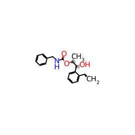 C=Cc1ccccc1[C@@H](O)[C@@H](C)OC(=O)NCc1ccccc1